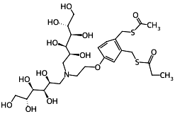 CCC(=O)SCc1cc(OCCN(C[C@H](O)[C@@H](O)[C@H](O)[C@H](O)CO)C[C@H](O)[C@@H](O)[C@H](O)[C@H](O)CO)ccc1CSC(C)=O